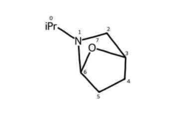 CC(C)N1CC2CCC1O2